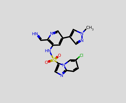 Cn1cc(-c2cnc(C=N)c(NS(=O)(=O)c3cnc4ccc(Cl)cn34)c2)cn1